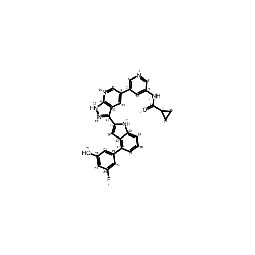 O=C(Nc1cncc(-c2cnc3[nH]nc(-c4cc5c(-c6cc(O)cc(F)c6)cccc5[nH]4)c3c2)c1)C1CC1